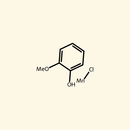 COc1ccccc1O.[Cl][Mn]